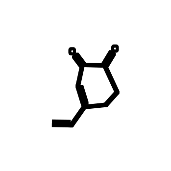 C=CC1=CC(=O)C(=O)CC1